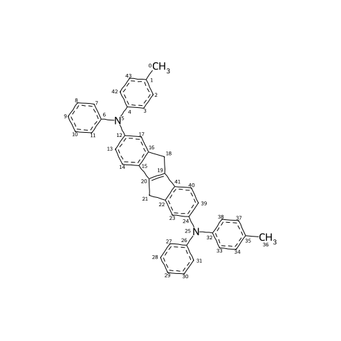 Cc1ccc(N(c2ccccc2)c2ccc3c(c2)CC2=C3Cc3cc(N(c4ccccc4)c4ccc(C)cc4)ccc32)cc1